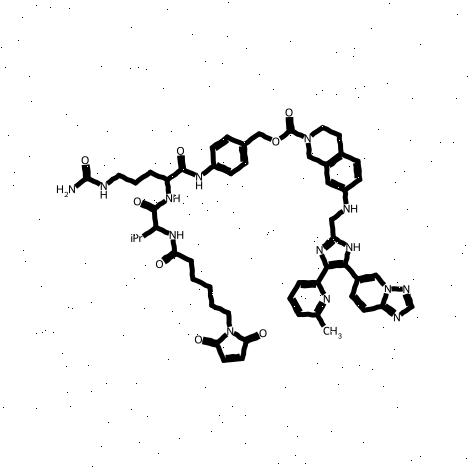 Cc1cccc(-c2nc(CNc3ccc4c(c3)CN(C(=O)OCc3ccc(NC(=O)C(CCCNC(N)=O)NC(=O)C(NC(=O)CCCCCN5C(=O)C=CC5=O)C(C)C)cc3)CC4)[nH]c2-c2ccc3ncnn3c2)n1